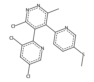 CSc1ccc(-c2c(C)nnc(Cl)c2-c2ncc(Cl)cc2Cl)nc1